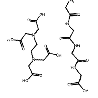 NCC(=O)NCC(=O)NCC(=O)NCC(=O)O.O=C(O)CN(CCN(CC(=O)O)CC(=O)O)CC(=O)O